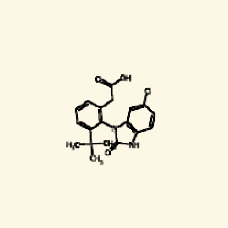 CC(C)(C)c1cccc(CC(=O)O)c1-n1c(=O)[nH]c2ccc(Cl)cc21